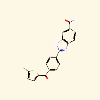 NC(=O)c1ccc2nc(-c3ccc(C(=O)c4ccc(Cl)s4)cc3)[nH]c2c1